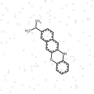 CN(C)c1ccc2cc3c(cc2c1)Oc1ccccc1N3